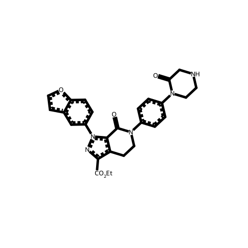 CCOC(=O)c1nn(-c2ccc3occc3c2)c2c1CCN(c1ccc(N3CCNCC3=O)cc1)C2=O